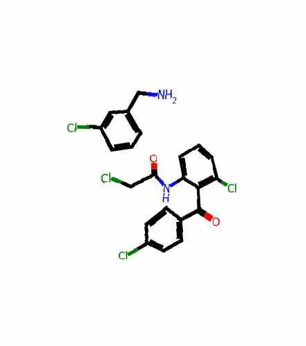 NCc1cccc(Cl)c1.O=C(CCl)Nc1cccc(Cl)c1C(=O)c1ccc(Cl)cc1